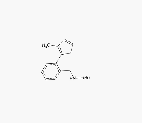 CC1=C(c2ccccc2CNC(C)(C)C)CC=C1